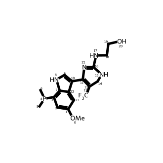 COc1cc(P(C)C)c2[nH]cc(C3=C(C(F)(F)F)CNC(NCCO)=N3)c2c1